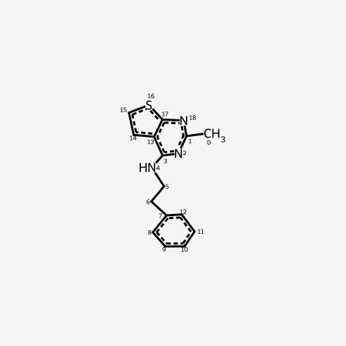 Cc1nc(NCCc2ccccc2)c2ccsc2n1